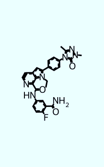 CCn1c(-c2ccc(-n3c(C)nn(C)c3=O)cc2)cc2c#cnc(C(=O)Nc3ccc(F)c(C(N)=O)c3)c21